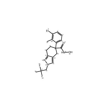 CCc1cccc(C2(C(=O)NO)CCc3nn(CC(C)(F)F)cc3C2)c1C